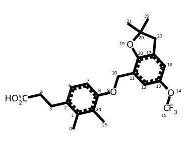 Cc1c(CCC(=O)O)ccc(OCc2cc(OC(F)(F)F)cc3c2OC(C)(C)C3)c1C